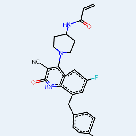 C=CC(=O)NC1CCN(c2c(C#N)c(=O)[nH]c3c(Cc4ccc(F)cc4)cc(F)cc23)CC1